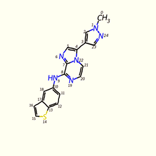 Cn1cc(-c2cnc3c(Nc4ccc5sccc5c4)nccn23)cn1